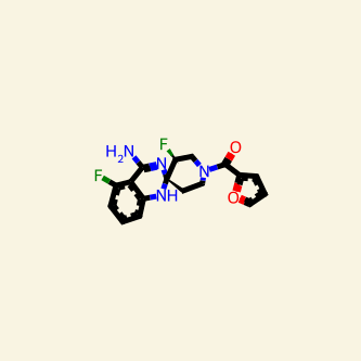 NC1=N[C@@]2(CCN(C(=O)c3ccco3)C[C@@H]2F)Nc2cccc(F)c21